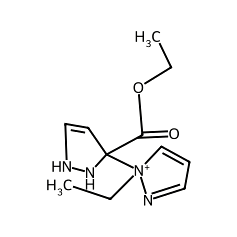 CCOC(=O)C1([N+]2(CC)C=CC=N2)C=CNN1